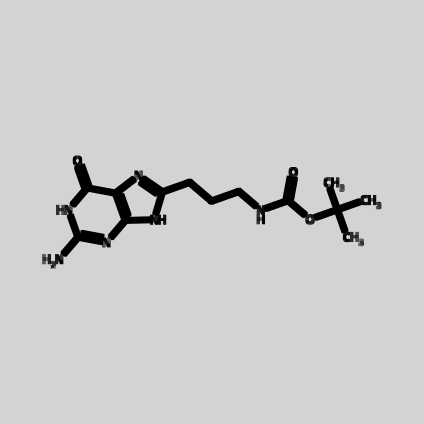 CC(C)(C)OC(=O)NCCCc1nc2c(=O)[nH]c(N)nc2[nH]1